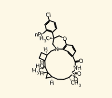 CCCc1cc(Cl)ccc1[C@]1(C)COc2ccc3cc2N(C[C@@H]2CC[C@H]2[C@@](C)(O)[C@H]2C[C@@H]2CC[C@@H](C)S(=O)(=O)NC3=O)C1